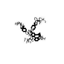 C=C(F)C(=O)N1CC2(CCN(c3nc(OC4CCC5(CC4)CN(CCC)C5)nc4c(OCC(F)(F)F)c(-c5c(C)ccc6[nH]ncc56)c(C5CC5)cc34)CC2)C1